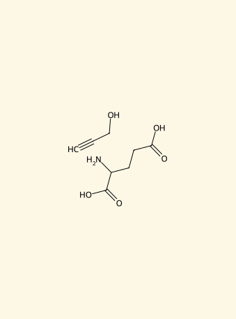 C#CCO.NC(CCC(=O)O)C(=O)O